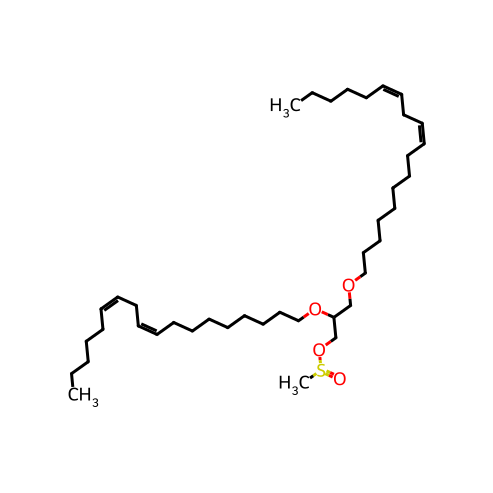 CCCCC/C=C\C/C=C\CCCCCCCCOCC(COS(C)=O)OCCCCCCCC/C=C\C/C=C\CCCCC